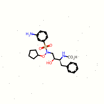 Nc1cccc(S(=O)(=O)N(C[C@H](O)[C@H](Cc2ccccc2)NC(=O)O)OC2CCCC2)c1